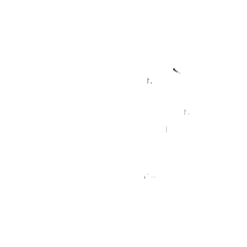 C=C(CC1CC(C)CC[C@H](CCC23CCCC(CCC2)C3)C1)C(N)C1[C@@H](C)CCCC2CCCN1CC2